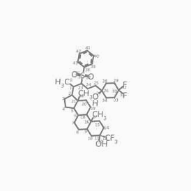 CC(C1CCC2C3CCC4C[C@](O)(C(F)(F)F)CCC4(C)C3CCC12C)C(CCC1(O)CCC(F)(F)CC1)S(=O)(=O)c1ccccc1